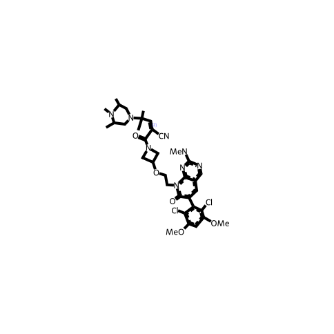 CNc1ncc2cc(-c3c(Cl)c(OC)cc(OC)c3Cl)c(=O)n(CCOC3CN(C(=O)/C(C#N)=C\C(C)(C)N4CC(C)N(C)C(C)C4)C3)c2n1